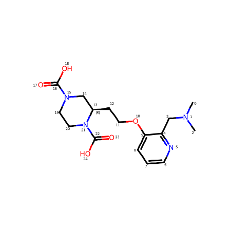 CN(C)Cc1ncccc1OCC[C@@H]1CN(C(=O)O)CCN1C(=O)O